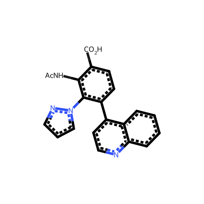 CC(=O)Nc1c(C(=O)O)ccc(-c2ccnc3ccccc23)c1-n1cccn1